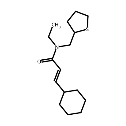 CCN(CC1CCCS1)C(=O)/C=C/C1CCCCC1